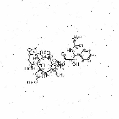 CC(=O)O[C@@]12COC1CC(O)[C@@]1(C)[C@@H]3CC(C=O)O[C@@H]3C3=C(C)[C@@H](OC(=O)[C@H](O)[C@@H](NC(=O)OC(C)(C)C)c4ccccc4)CC4(O[C@H]4[C@@H]12)C3(C)C